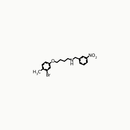 Cc1ccc(OCCCCNCc2cccc([N+](=O)[O-])c2)cc1Br